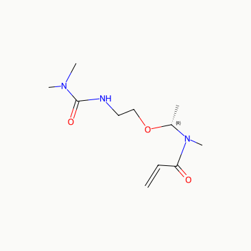 C=CC(=O)N(C)[C@@H](C)OCCNC(=O)N(C)C